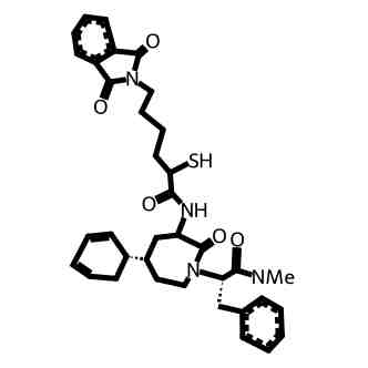 CNC(=O)[C@H](Cc1ccccc1)N1CCC([C@H]2C=CC=CC2)CC(NC(=O)C(S)CCCCN2C(=O)c3ccccc3C2=O)C1=O